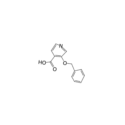 O=C(O)c1ccncc1OCc1ccccc1